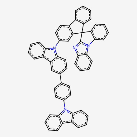 c1ccc2c(c1)-c1ccc(-n3c4ccccc4c4cc(-c5ccc(-n6c7ccccc7c7ccccc76)cc5)ccc43)cc1C21c2ccccc2-n2c1nc1ccccc12